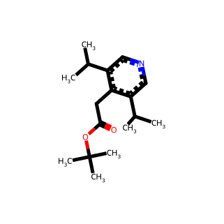 CC(C)c1cncc(C(C)C)c1CC(=O)OC(C)(C)C